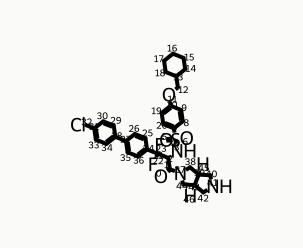 O=C([C@@H](NS(=O)(=O)c1ccc(OCC2CCCCC2)cc1)C(F)(F)c1ccc(-c2ccc(Cl)cc2)cc1)N1C[C@H]2CNC[C@H]2C1